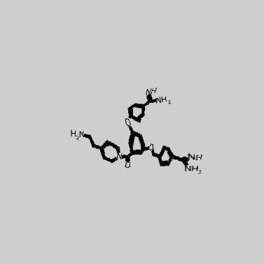 N=C(N)c1ccc(COc2cc(Oc3ccc(C(=N)N)cc3)cc(C(=O)N3CCC(CCN)CC3)c2)cc1